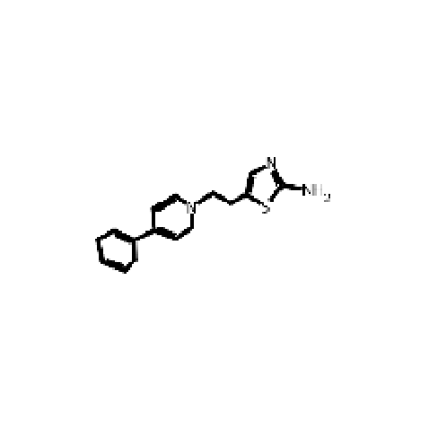 Nc1ncc(CCN2C=CC(C3=CCC=CC3)=CC2)s1